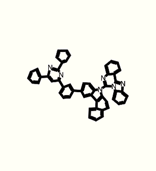 c1ccc(-c2cc(-c3cccc(-c4ccc5c(c4)c4c6ccccc6ccc4n5-c4nc5ccccc5c5nc6ccccc6n45)c3)nc(-c3ccccc3)n2)cc1